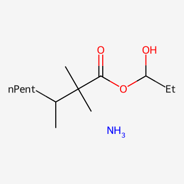 CCCCCC(C)C(C)(C)C(=O)OC(O)CC.N